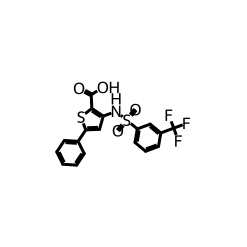 O=C(O)c1sc(-c2ccccc2)cc1NS(=O)(=O)c1cccc(C(F)(F)F)c1